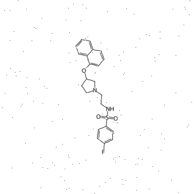 O=S(=O)(NCCN1CCC(Oc2cccc3ccccc23)C1)c1ccc(F)cc1